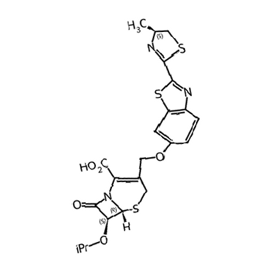 CC(C)O[C@H]1C(=O)N2C(C(=O)O)=C(COc3ccc4nc(C5=N[C@@H](C)CS5)sc4c3)CS[C@H]12